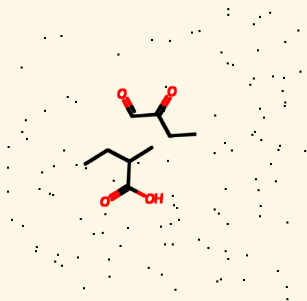 CCC(=O)C=O.CCC(C)C(=O)O